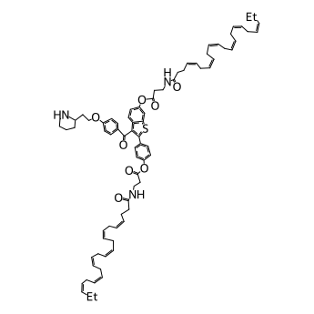 CC/C=C\C/C=C\C/C=C\C/C=C\C/C=C\C/C=C\CCC(=O)NCCC(=O)Oc1ccc(-c2sc3cc(OC(=O)CCNC(=O)CC/C=C\C/C=C\C/C=C\C/C=C\C/C=C\C/C=C\CC)ccc3c2C(=O)c2ccc(OCCC3CCCCN3)cc2)cc1